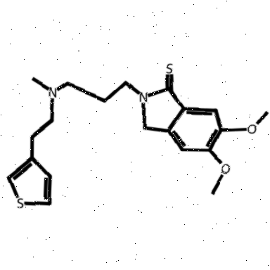 COc1cc2c(cc1OC)C(=S)N(CCCN(C)CCc1ccsc1)C2